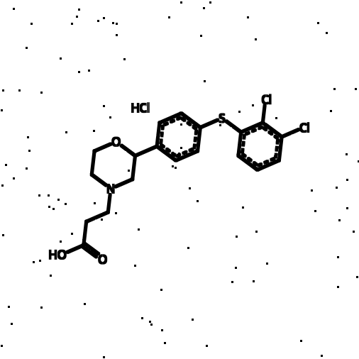 Cl.O=C(O)CCN1CCOC(c2ccc(Sc3cccc(Cl)c3Cl)cc2)C1